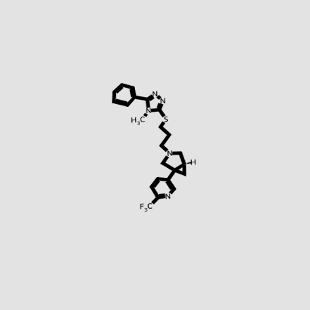 Cn1c(SCCCN2C[C@H]3CC3(c3ccc(C(F)(F)F)nc3)C2)nnc1-c1ccccc1